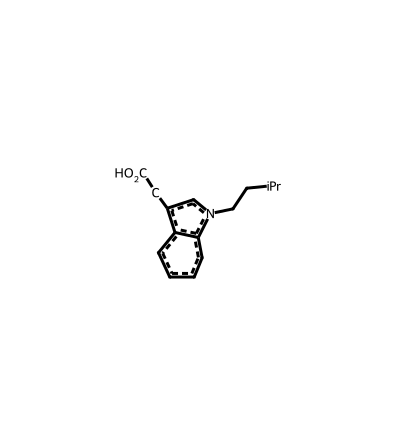 CC(C)CCn1cc(CC(=O)O)c2ccccc21